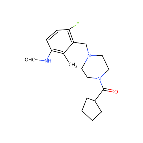 Cc1c(NC=O)ccc(F)c1CN1CCN(C(=O)C2CCCC2)CC1